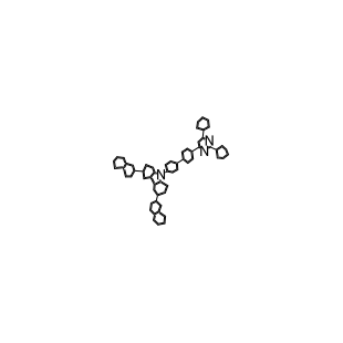 c1ccc(-c2cc(-c3ccc(-c4ccc(-n5c6ccc(-c7ccc8ccccc8c7)cc6c6cc(-c7ccc8ccccc8c7)ccc65)cc4)cc3)nc(-c3ccccc3)n2)cc1